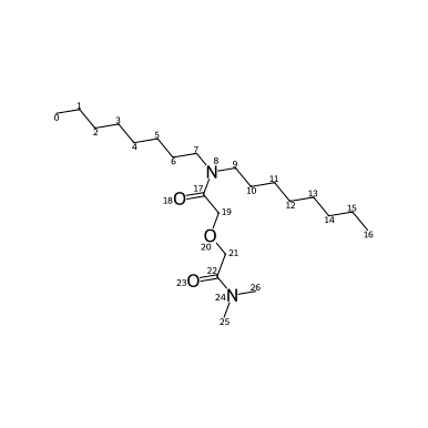 CCCCCCCCN(CCCCCCCC)C(=O)COCC(=O)N(C)C